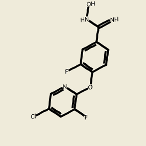 N=C(NO)c1ccc(Oc2ncc(Cl)cc2F)c(F)c1